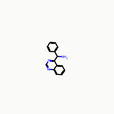 NC(c1ccccc1)c1ncnc2ccccc12